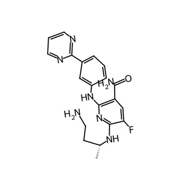 C[C@H](CCN)Nc1nc(Nc2cccc(-c3ncccn3)c2)c(C(N)=O)cc1F